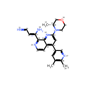 Cc1cc(-c2cc(N3CCOC[C@H]3C)nc3c(/C(N)=C/C=N)nccc23)cnc1C